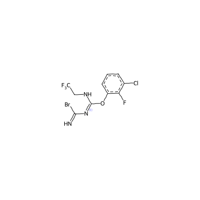 N=C(Br)/N=C(\NCC(F)(F)F)Oc1cccc(Cl)c1F